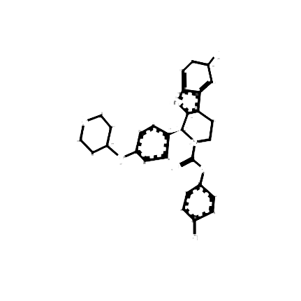 O=C(Oc1ccc(Cl)cc1)N1CCc2c([nH]c3c2=CC(Cl)CC=3)[C@@H]1c1ccc(OC2CCOCC2)cc1